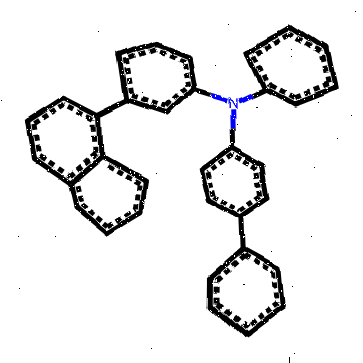 c1ccc(-c2ccc(N(c3ccccc3)c3cccc(-c4cccc5ccccc45)c3)cc2)cc1